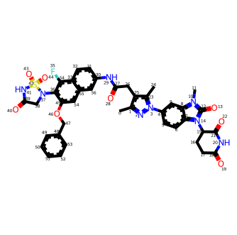 Cc1nn(-c2ccc3c(c2)n(C)c(=O)n3C2CCC(=O)NC2=O)c(C)c1CC(=O)Nc1ccc2c(F)c(N3CC(=O)NS3(=O)=O)c(OCc3ccccc3)cc2c1